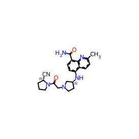 Cc1ccc2c(N[C@H]3CCN(CC(=O)N4CCC[C@H]4C#N)C3)ccc(C(N)=O)c2n1